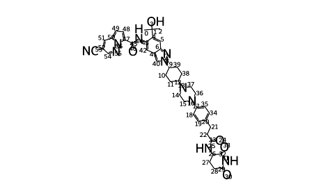 CC(C)(O)c1cc2nn([C@H]3CC[C@H](N4CCN(c5ccc(CCC(=O)NC6CCC(=O)NC6=O)cc5)CC4)CC3)cc2cc1NC(=O)c1ccc2cc(C#N)cnn12